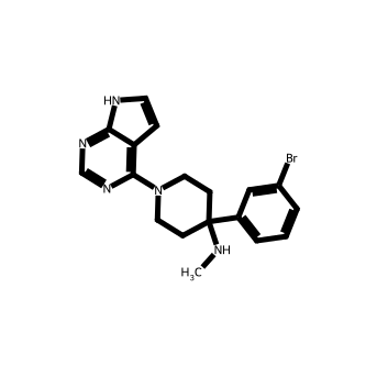 CNC1(c2cccc(Br)c2)CCN(c2ncnc3[nH]ccc23)CC1